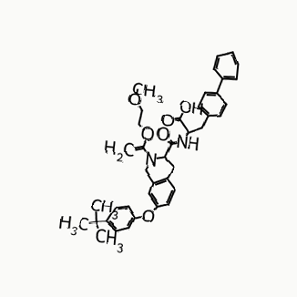 C=C(OCCOC)N1Cc2cc(Oc3ccc(C(C)(C)C)cc3)ccc2CC1C(=O)NC(Cc1ccc(-c2ccccc2)cc1)C(=O)O